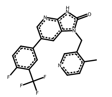 Cc1ccncc1Cn1c(=O)[nH]c2ncc(-c3ccc(F)c(C(F)(F)F)c3)cc21